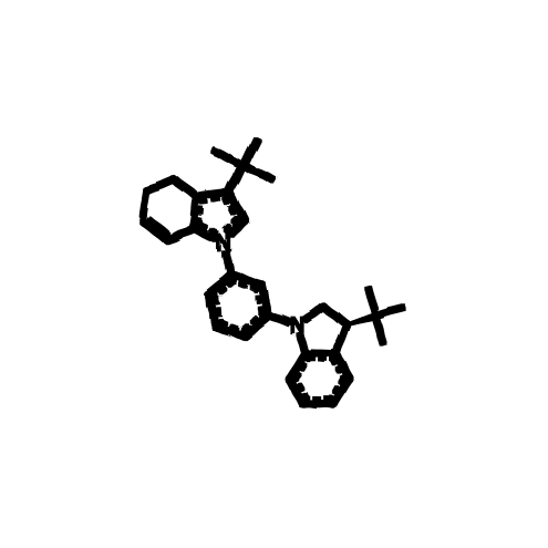 CC(C)(C)c1cn(-c2cccc(N3C[C@@H](C(C)(C)C)c4ccccc43)c2)c2c1CCC=C2